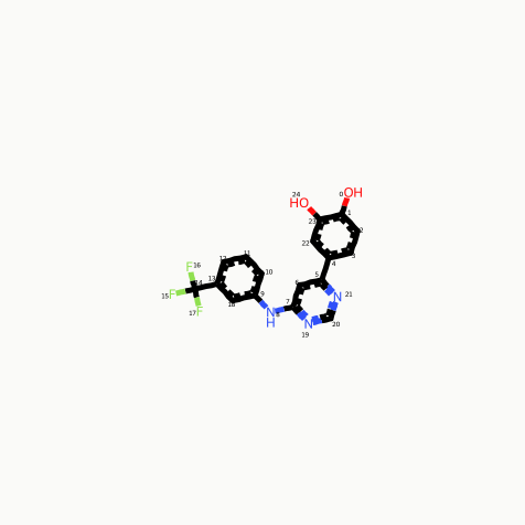 Oc1ccc(-c2cc(Nc3cccc(C(F)(F)F)c3)ncn2)cc1O